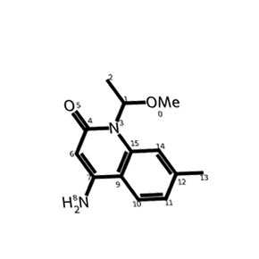 COC(C)n1c(=O)cc(N)c2ccc(C)cc21